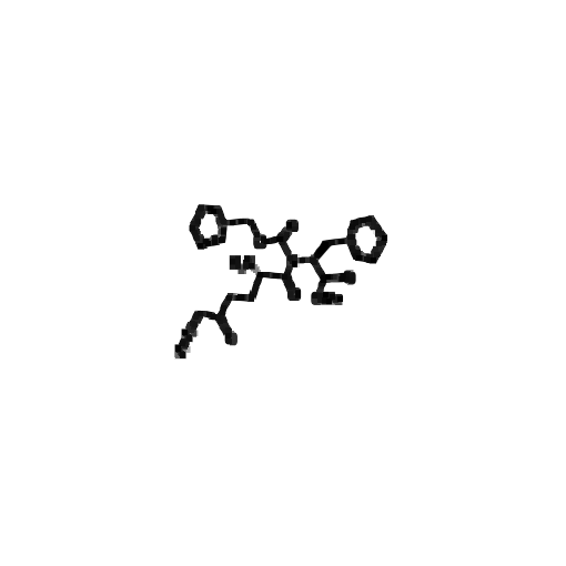 COC(=O)[C@H](Cc1ccccc1)N(C(=O)OCc1ccccc1)C(=O)[C@@H](N)CCC(=O)C=[N+]=[N-]